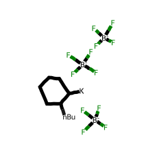 CCCCC1CCCC[CH]1[K].F[B-](F)(F)F.F[B-](F)(F)F.F[B-](F)(F)F